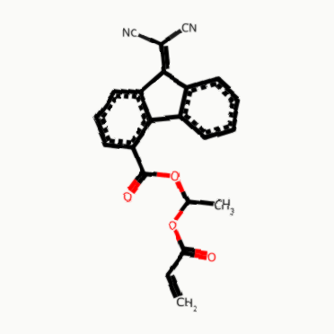 C=CC(=O)OC(C)OC(=O)c1cccc2c1-c1ccccc1C2=C(C#N)C#N